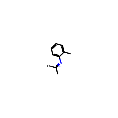 CC/C(C)=N\c1ccccc1C